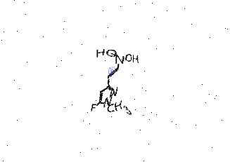 Cn1nc(/C=C/N(O)O)cc1F